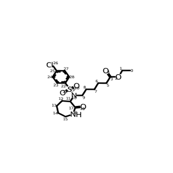 CCOC(=O)CCCCCN(C1CCCCNC1=O)S(=O)(=O)c1ccc(Cl)cc1